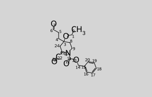 CCOC1(CCC=O)CCN(C(=O)OCc2ccccc2)C(=C=O)C1